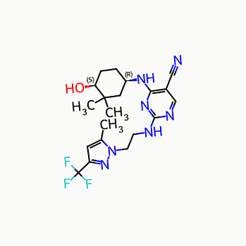 Cc1cc(C(F)(F)F)nn1CCNc1ncc(C#N)c(N[C@@H]2CC[C@H](O)C(C)(C)C2)n1